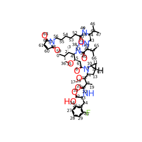 CC[C@H](C)C([C@@H](CC(=O)N1C2C[C@@H]2C[C@H]1[C@H](OC)[C@@H](C)C(=O)N[C@@H](Cc1ccccc1F)C(=O)O)OC)N(C)C(=O)[C@@H](NC[C@H](C(C)C)N(C)C(=O)CCCCCN1C(=O)C=CC1=O)C(C)C